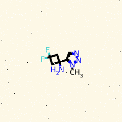 Cn1nncc1C1(N)CC(F)(F)C1